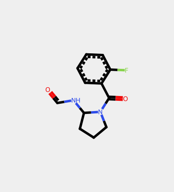 O=CNC1CCCN1C(=O)c1ccccc1F